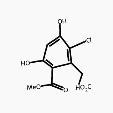 COC(=O)c1c(O)cc(O)c(Cl)c1CC(=O)O